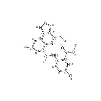 CCc1nc2c(C(C)Nc3ccc(Cl)nc3C(=O)OC)cc(C)cc2c2nccn12